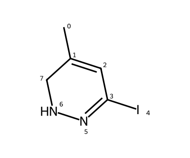 CC1=CC(I)=NNC1